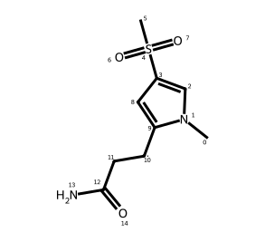 Cn1cc(S(C)(=O)=O)cc1[CH]CC(N)=O